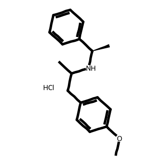 COc1ccc(CC(C)N[C@H](C)c2ccccc2)cc1.Cl